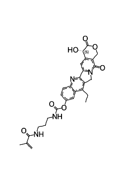 C=C(C)C(=O)NCCCNC(=O)Oc1ccc2nc3c(c(CC)c2c1)Cn1c-3cc2c(c1=O)COC(=O)[C@H]2O